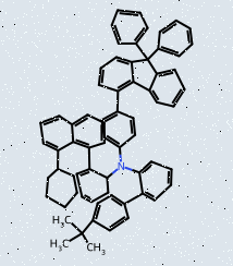 CC(C)(C)c1ccc(-c2ccccc2N(c2ccc(-c3cccc4c3-c3ccccc3C4(c3ccccc3)c3ccccc3)cc2)C2CC=CC=C2c2cccc3cccc(C4CCCCC4)c23)cc1